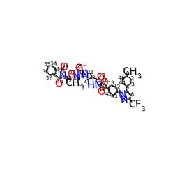 Cc1ccc(-c2cc(C(F)(F)F)nn2-c2ccc(S(=O)(=O)NC(=O)C3CN(/[N+]([O-])=N/OC(C)N4C(=O)c5ccccc5C4=O)C3)cc2)cc1